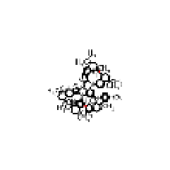 CC(C)(C)c1ccc2c(c1)C1(C)CCc3ccccc3C1(C)N2c1cc2c3c(c1)N(c1ccc4c(c1)C(C)(C)CCC4(C)C)c1c(sc4cc5c(cc14)C(C)(C)CCC5(C)C)B3c1oc3cc4c5cc3c1N2c1ccc2c(c1)C(C)(CCC2(C)C)CC5(C)CCC4(C)C